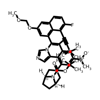 COCOc1cc(-c2c(F)c3nc([S+](C)[O-])nc(N4C[C@H]5CC[C@@H](C4)N5C(=O)OC(C)(C)C)c3c3cncn23)c2c(C#C[Si](C)(C)C)c(F)ccc2c1